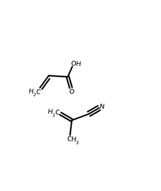 C=C(C)C#N.C=CC(=O)O